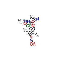 Cc1c(COc2cc(OCc3cncc(C#N)c3)c(CN3CCN(C)C(=O)C3)cc2Cl)cccc1-c1cccc(OCCCN2CC[C@@H](O)C2)c1C